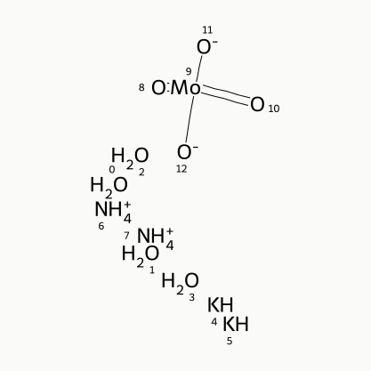 O.O.O.O.[KH].[KH].[NH4+].[NH4+].[O]=[Mo](=[O])([O-])[O-]